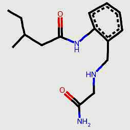 CCC(C)CC(=O)Nc1ccccc1CNCC(N)=O